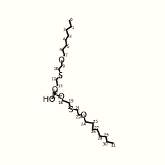 CCCCCCCCOCCSCCOP(O)OCCSCCOCCCCCCCC